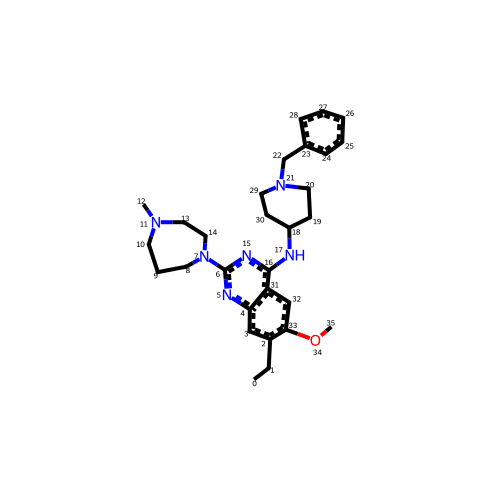 CCc1cc2nc(N3CCCN(C)CC3)nc(NC3CCN(Cc4ccccc4)CC3)c2cc1OC